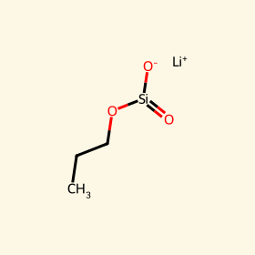 CCCO[Si](=O)[O-].[Li+]